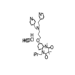 CC(C)CN1C(=O)C(C)(C)C(=O)N(C)c2cc(OCCCN(CCc3cccnc3)Cc3ccncc3)ccc21.Cl.Cl.Cl